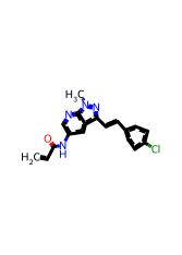 C=CC(=O)Nc1cnc2c(c1)c(C=Cc1ccc(Cl)cc1)nn2C